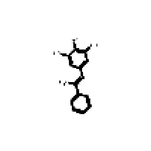 CCCc1c(O)cc(/C=C(\C)c2ccccc2)cc1O